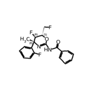 C[C@]1(c2ccccc2F)N=C(NC(=O)c2ccccc2)O[C@@H](CF)[C@@H]1F